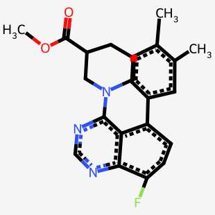 COC(=O)C1CCCN(c2ncnc3c(F)ccc(-c4ccc(C)c(C)c4)c23)C1